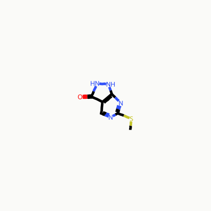 CSc1ncc2c(=O)[nH][nH]c2n1